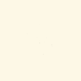 Cc1cccc(C(=O)C(Br)(Br)C#N)c1